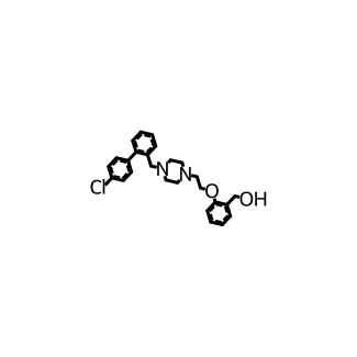 OCc1ccccc1OCCN1CCN(Cc2ccccc2-c2ccc(Cl)cc2)CC1